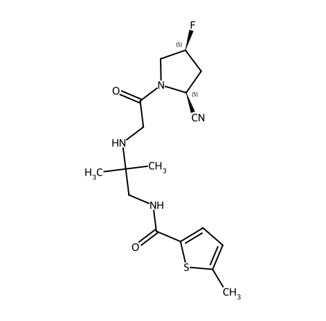 Cc1ccc(C(=O)NCC(C)(C)NCC(=O)N2C[C@@H](F)C[C@H]2C#N)s1